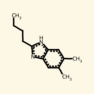 CCCCc1nc2cc(C)c(C)cc2[nH]1